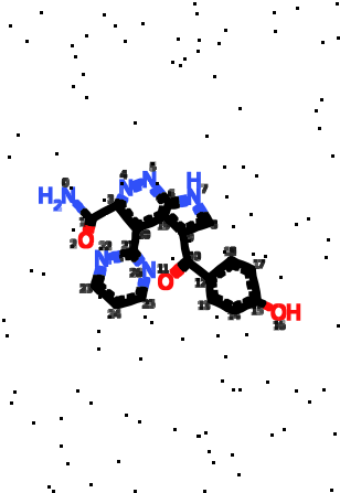 NC(=O)c1nnc2[nH]cc(C(=O)c3ccc(O)cc3)c2c1-c1ncccn1